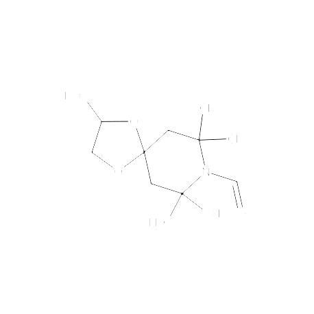 CC1COC2(CC(C)(C)N(C=O)C(C)(C)C2)O1